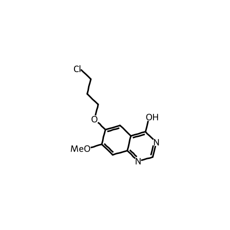 COc1cc2ncnc(O)c2cc1OCCCCl